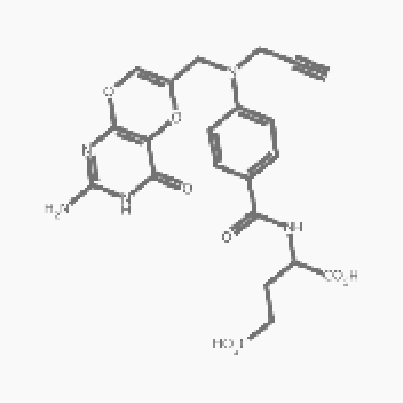 C#CCN(CC1=COc2nc(N)[nH]c(=O)c2O1)c1ccc(C(=O)NC(CCC(=O)O)C(=O)O)cc1